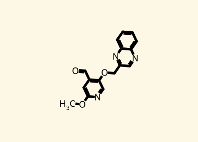 COc1cc(C=O)c(OCc2cnc3ccccc3n2)cn1